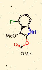 COC(=O)Oc1[nH]c2cccc(F)c2c1OC